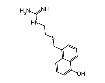 N=C(N)NCCSCc1cccc2c(O)cccc12